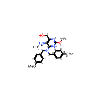 CCCCOc1nc(CO)c(NC(=O)O)c(N(Cc2ccc(OC)cc2)Cc2ccc(OC)cc2)n1